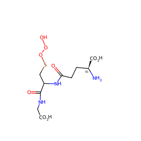 N[C@@H](CCC(=O)NC(CSOOO)C(=O)NCC(=O)O)C(=O)O